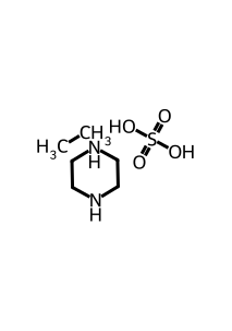 C1CNCCN1.CC.O=S(=O)(O)O